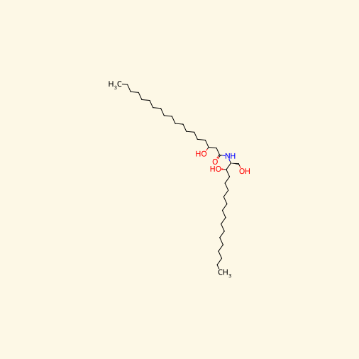 CCCCCCCCCCCCCCCCC(O)CC(=O)N[C@@H](CO)[C@H](O)CCCCCCCCCCCCCCC